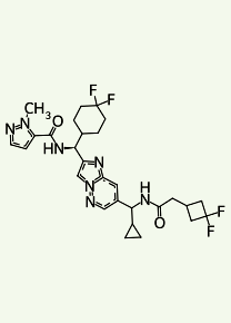 Cn1nccc1C(=O)N[C@H](c1cn2ncc(C(NC(=O)CC3CC(F)(F)C3)C3CC3)cc2n1)C1CCC(F)(F)CC1